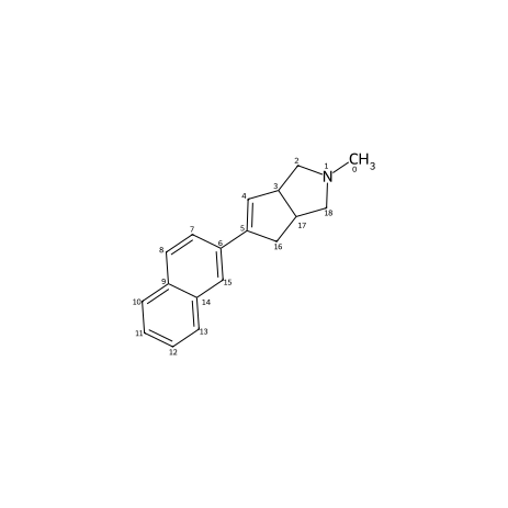 CN1CC2C=C(c3ccc4ccccc4c3)CC2C1